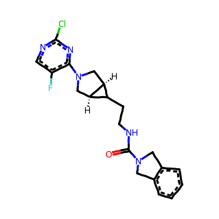 O=C(NCCC1[C@H]2CN(c3nc(Cl)ncc3F)C[C@@H]12)N1Cc2ccccc2C1